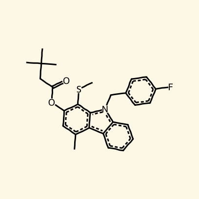 CSc1c(OC(=O)CC(C)(C)C)cc(C)c2c3ccccc3n(Cc3ccc(F)cc3)c12